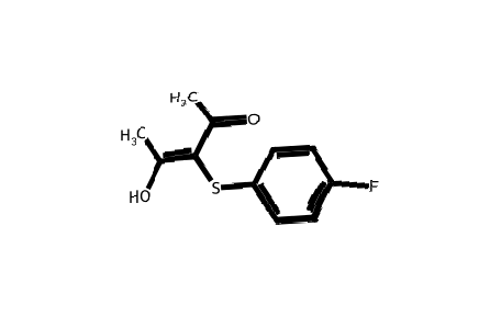 CC(=O)C(Sc1ccc(F)cc1)=C(C)O